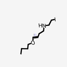 CCCCO/C=C/CCNCCI